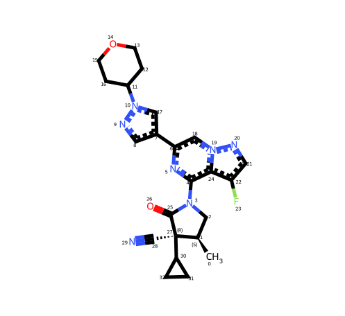 C[C@@H]1CN(c2nc(-c3cnn(C4CCOCC4)c3)cn3ncc(F)c23)C(=O)[C@]1(C#N)C1CC1